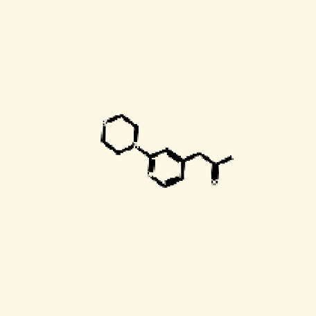 CC(=O)Cc1ccnc(N2CCOCC2)c1